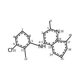 Cc1cc(Nc2cccc(Cl)c2C)c2cccc(C)c2n1